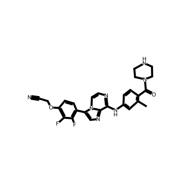 Cc1cc(Nc2nccn3c(-c4ccc(OCC#N)c(F)c4F)cnc23)ccc1C(=O)N1CCNCC1